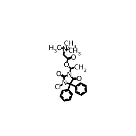 CC(OC(=O)C[N+](C)(C)C)N1C(=O)N(Cl)C(c2ccccc2)(c2ccccc2)C1=O